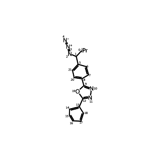 CC(C)C(N=[N+]=[N-])c1ccc(-c2nnc(-c3ccccc3)o2)cc1